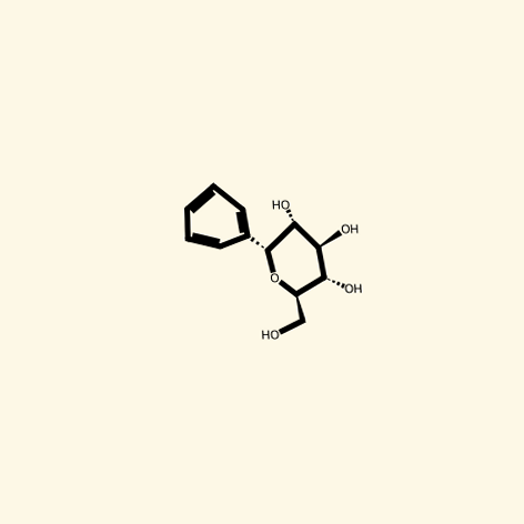 OC[C@H]1O[C@H](c2c[c]ccc2)[C@H](O)[C@@H](O)[C@@H]1O